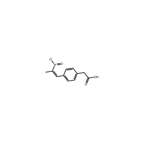 CC(=Cc1ccc(CC(=O)O)cc1)[N+](=O)[O-]